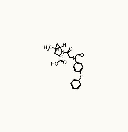 C[C@@]12C[C@@H]1N(C(=O)CN(C=O)c1ccc(Oc3ccccc3)cc1)[C@H](C(=O)O)C2